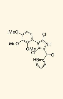 COc1ccc(-c2c(Cl)[nH]c(C(=O)c3ccc[nH]3)c2Cl)c(OC)c1OC